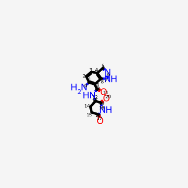 Nc1ccc2cn[nH]c2c1C(=O)NC1CCC(=O)NC1=O